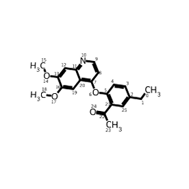 CCc1ccc(Oc2ccnc3cc(OC)c(OC)cc23)c(C(C)=O)c1